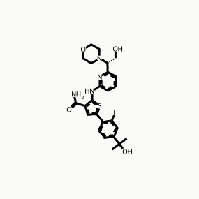 CC(C)(O)c1ccc(-c2cc(C(N)=O)c(Nc3cccc([C@@H](CO)N4CCOCC4)n3)s2)c(F)c1